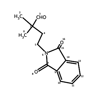 CC(C)(C=O)CCN1C(=O)c2ccccc2C1=O